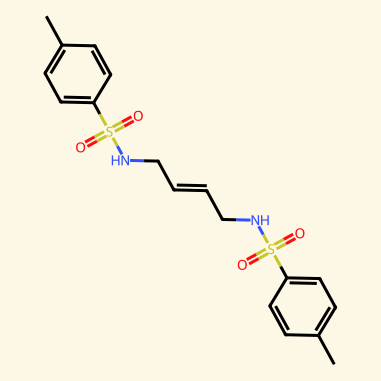 Cc1ccc(S(=O)(=O)NCC=CCNS(=O)(=O)c2ccc(C)cc2)cc1